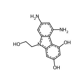 Nc1cc(N)c2c3c(O)cc(O)cc3n(CCO)c2c1